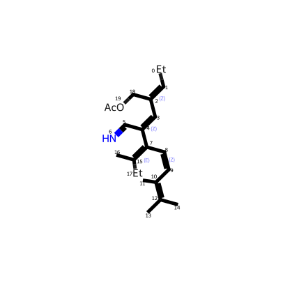 CC/C=C(/C=C(C=N)/C(/C=C\C(C)=C(C)C)=C(\C)CC)COC(C)=O